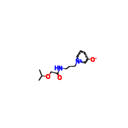 CC(C)OCC(=O)NCCC[n+]1cccc([O-])c1